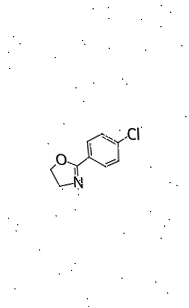 Clc1ccc(C2=NCCO2)cc1